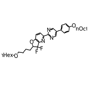 CCCCCCCCOc1ccc(-c2cnc(-c3ccc4c(n3)C(F)(F)C(CCCCOCCCCCC)O4)nc2)cc1